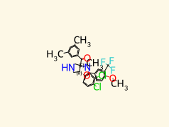 COc1ccc(C(=O)N(C)[C@]2(C(=O)c3cc(C)cc(C)c3)CNC[C@H]2c2ccc(Cl)c(Cl)c2)cc1C(F)(F)F